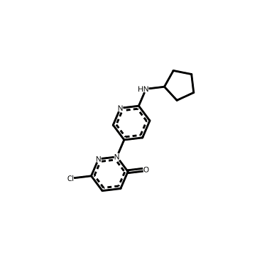 O=c1ccc(Cl)nn1-c1ccc(NC2CCCC2)nc1